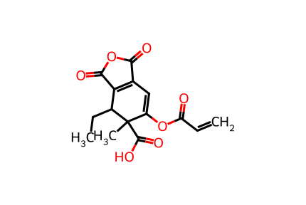 C=CC(=O)OC1=CC2=C(C(=O)OC2=O)C(CC)C1(C)C(=O)O